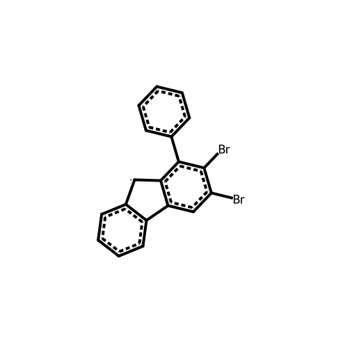 Brc1cc2c(c(-c3ccccc3)c1Br)[CH]c1ccccc1-2